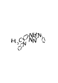 Cc1ccc(Nc2ncnc3c2CCN(Cc2ccccc2)C3)cc1-c1cc2ccccc2cn1